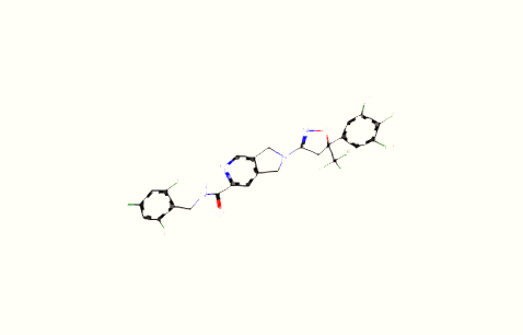 O=C(NCc1c(F)cc(F)cc1F)c1cc2c(cn1)CN(C1=NOC(c3cc(Cl)c(F)c(Cl)c3)(C(F)(F)F)C1)C2